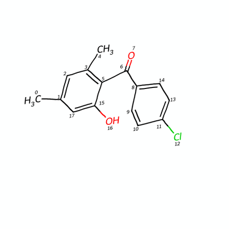 Cc1cc(C)c(C(=O)c2ccc(Cl)cc2)c(O)c1